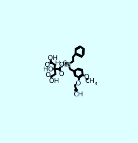 C#CCOc1cc(CN(C)CCc2ccccc2)ccc1OC.O=C(O)CC(O)(CC(=O)O)C(=O)O